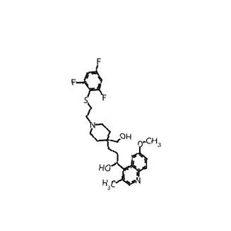 COc1ccc2ncc(C)c(C(O)CCC3(CO)CCN(CCSc4c(F)cc(F)cc4F)CC3)c2c1